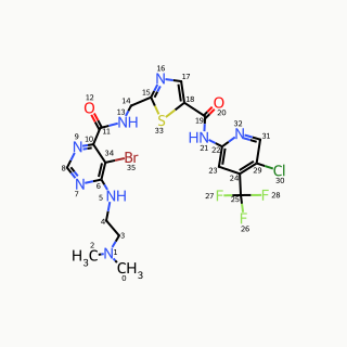 CN(C)CCNc1ncnc(C(=O)NCc2ncc(C(=O)Nc3cc(C(F)(F)F)c(Cl)cn3)s2)c1Br